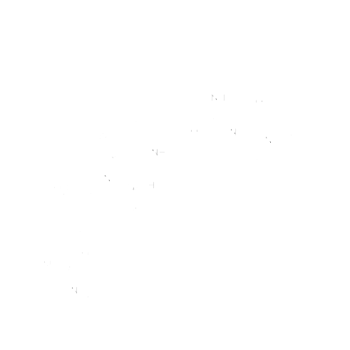 Cn1c(=O)n(C(=O)Nc2ccccc2CC(=O)NC2C(=O)N3C(C(=O)O)=C(COC(N)=O)CS[C@H]23)c2ccccc21